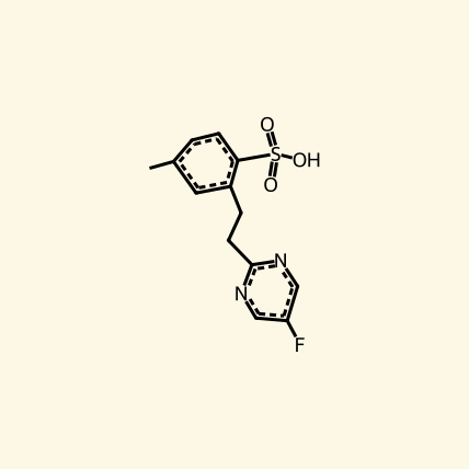 Cc1ccc(S(=O)(=O)O)c(CCc2ncc(F)cn2)c1